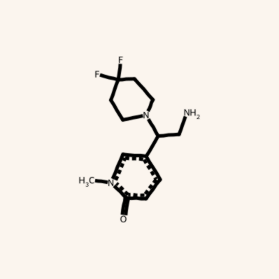 Cn1cc(C(CN)N2CCC(F)(F)CC2)ccc1=O